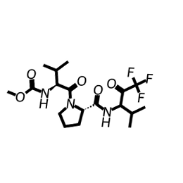 COC(=O)N[C@H](C(=O)N1CCC[C@H]1C(=O)NC(C(=O)C(F)(F)F)C(C)C)C(C)C